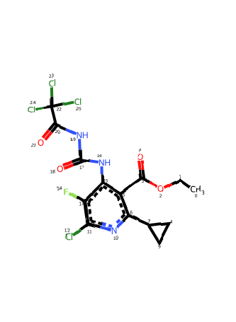 CCOC(=O)c1c(C2CC2)nc(Cl)c(F)c1NC(=O)NC(=O)C(Cl)(Cl)Cl